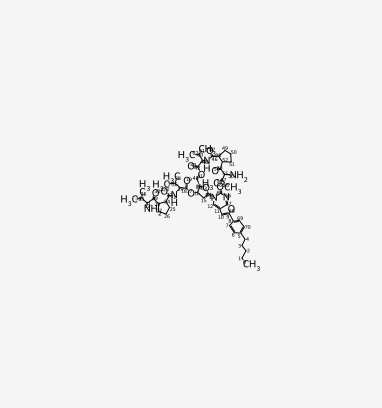 CCCCCc1ccc(-c2cc3cn([C@H]4CC(OC(=O)C(NC(=O)C5CCCC5C(=O)C(N)C(C)C)C(C)C)[C@@H](COC(=O)C(NC(=O)C5CCCC5C(=O)C(N)C(C)C)C(C)C)O4)c(=O)nc3o2)cc1